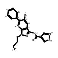 CC(C)CCCn1nc(NC(=O)c2cnsc2)c2cc(Br)c(-c3cc[c]cc3)nc21